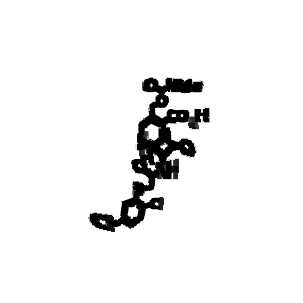 CNC(=O)OCC1=C(C(=O)O)N2C(=O)C(NC(=O)CSc3cc(Cl)ccc3Cl)[C@@H]2SC1